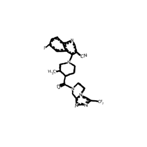 CC1CN(c2c(C#N)cnc3ccc(F)cc23)CCC1C(=O)N1CCn2c(nnc2C(F)(F)F)C1